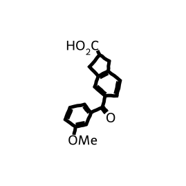 COc1cccc(C(=O)c2ccc3c(c2)CC(C(=O)O)C3)c1